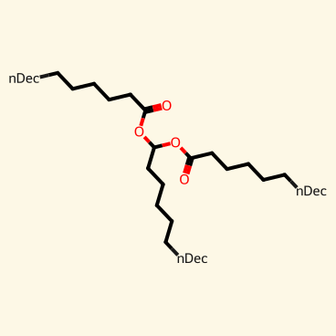 CCCCCCCCCCCCCCCC(=O)OC(CCCCCCCCCCCCCCC)OC(=O)CCCCCCCCCCCCCCC